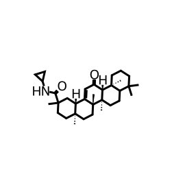 CC1(C(=O)NC2CC2)CC[C@]2(C)CC[C@]3(C)C(=CC(=O)[C@@H]4[C@@]5(C)CCCC(C)(C)C5CC[C@]43C)[C@H]2C1